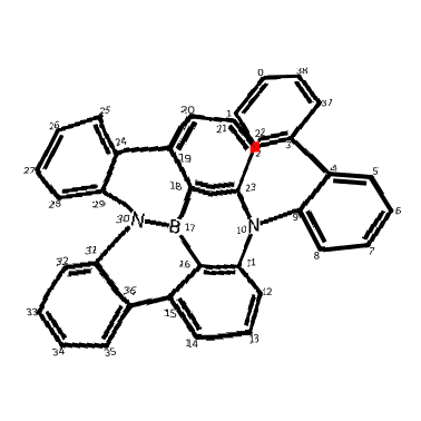 c1ccc(-c2ccccc2N2c3cccc4c3B3c5c(cccc52)-c2ccccc2N3c2ccccc2-4)cc1